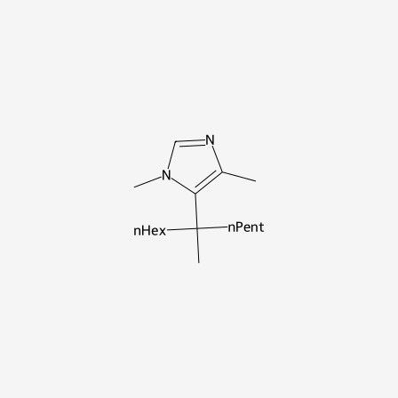 CCCCCCC(C)(CCCCC)c1c(C)ncn1C